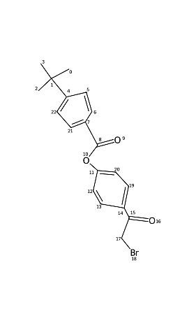 CC(C)(C)c1ccc(C(=O)Oc2ccc(C(=O)CBr)cc2)cc1